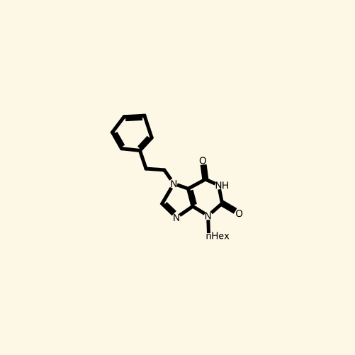 CCCCCCn1c(=O)[nH]c(=O)c2c1ncn2CCc1ccccc1